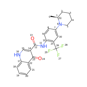 C[C@H]1CCCCN1c1ccc(NC(=O)c2c[nH]c3ccccc3c2=O)c(C(F)(F)F)c1